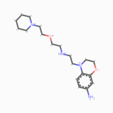 Nc1ccc2c(c1)OCCN2CCNCCOCCN1CCCCC1